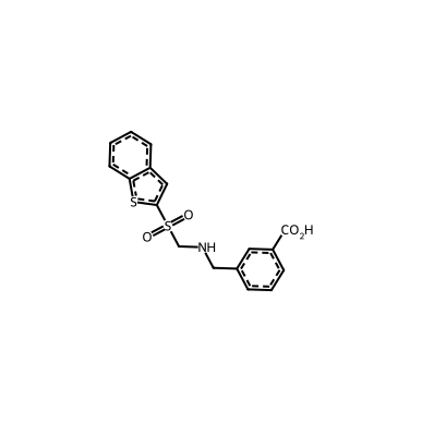 O=C(O)c1cccc(CNCS(=O)(=O)c2cc3ccccc3s2)c1